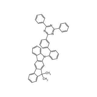 CC1(C)c2ccccc2-c2cc3c4ccccc4n(-c4ccccc4-c4cccc(-c5nc(-c6ccccc6)nc(-c6ccccc6)n5)c4)c3cc21